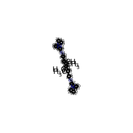 CC1(C)c2cc(-c3ccc(/C=C/c4ccc5c(c4)c4ccccc4n5-c4cccc5ccccc45)cc3)ccc2-c2cc3c(cc21)-c1ccc(-c2ccc(/C=C/c4ccc5c(c4)c4ccccc4n5-c4cccc5ccccc45)cc2)cc1C3(C)C